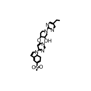 CCc1cnc(N2CCC(Oc3cc(N4C=CC5=CC(S(C)(=O)=O)=CCC54)ncn3)C(O)C2)nc1